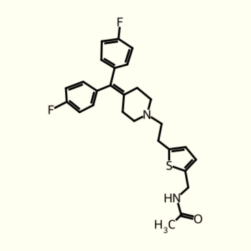 CC(=O)NCc1ccc(CCN2CCC(=C(c3ccc(F)cc3)c3ccc(F)cc3)CC2)s1